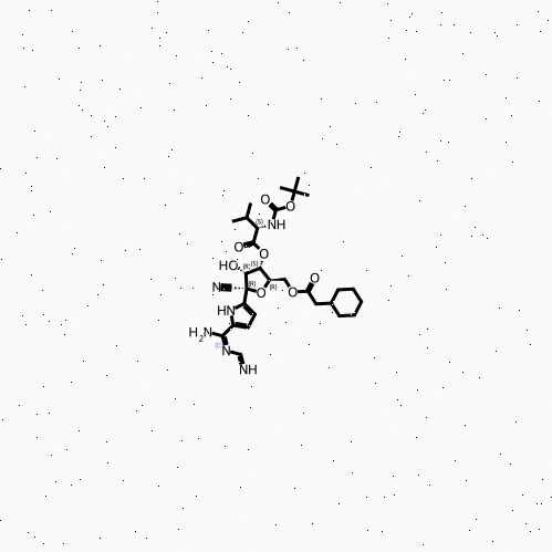 CC(C)[C@H](NC(=O)OC(C)(C)C)C(=O)O[C@H]1[C@@H](O)[C@](C#N)(c2ccc(/C(N)=N\C=N)[nH]2)O[C@@H]1COC(=O)CC1CCCCC1